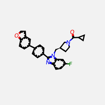 O=C(C1CC1)N1CC[C@@H](Cn2c(-c3ccc(-c4ccc5occc5c4)cc3)nc3ccc(F)cc32)C1